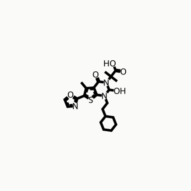 Cc1c(-c2ncco2)sc2c1C(=O)N(C(C)(C)C(=O)O)C(O)N2CCC1CCCCC1